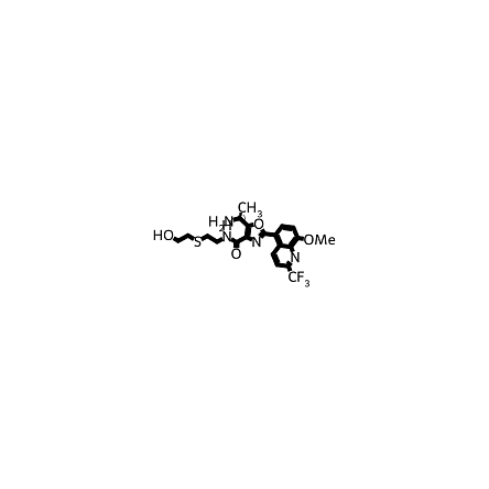 COc1ccc(-c2nc(C(=O)NCCSCCO)c([C@H](C)N)o2)c2ccc(C(F)(F)F)nc12